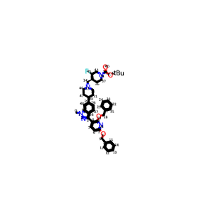 Cn1nc(-c2ccc(OCc3ccccc3)nc2OCc2ccccc2)c2ccc(C3CCN(C[C@@H]4CCN(C(=O)OC(C)(C)C)C[C@@H]4F)CC3)cc21